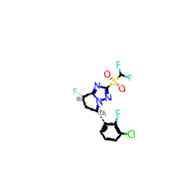 O=S(=O)(c1nc2n(n1)[C@H](c1cccc(Cl)c1F)C[C@@H]2F)C(F)F